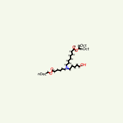 CCCCCCCCCCCOC(=O)CCCCCN(CCCCCO)CCCCCCCC(=O)OC(CCCCCCCC)CCCCCCCC